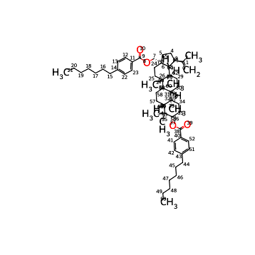 C=C(C)[C@@H]1CC[C@]2(COC(=O)c3ccc(CCCCCCC)cc3)CC[C@]3(C)[C@H](CC[C@@H]4[C@@]5(C)CC[C@H](OC(=O)c6ccc(CCCCCCC)cc6)C(C)(C)[C@@H]5CC[C@]43C)[C@@H]12